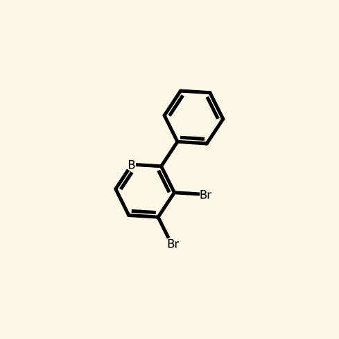 Brc1ccbc(-c2ccccc2)c1Br